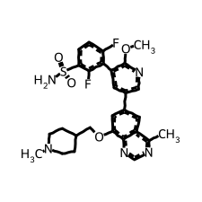 COc1ncc(-c2cc(OCC3CCN(C)CC3)c3ncnc(C)c3c2)cc1-c1c(F)ccc(S(N)(=O)=O)c1F